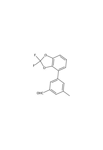 Cc1cc(C=O)cc(-c2cccc3c2OC(F)(F)O3)c1